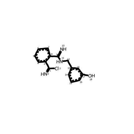 N=C(Cl)c1ccccc1C(=N)NCc1cccc(O)c1